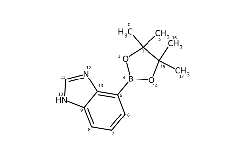 CC1(C)OB(c2cccc3[nH]cnc23)OC1(C)C